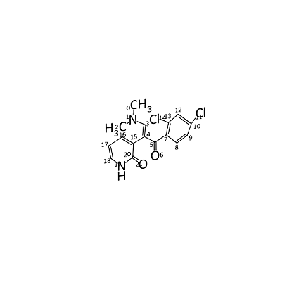 CN(C)C=C(C(=O)c1ccc(Cl)cc1Cl)c1ccc[nH]c1=O